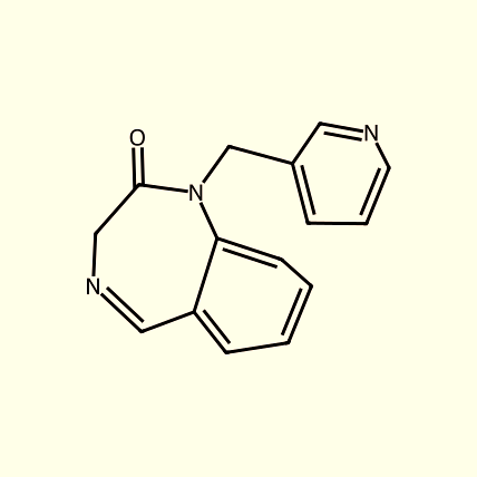 O=C1CN=Cc2ccccc2N1Cc1cccnc1